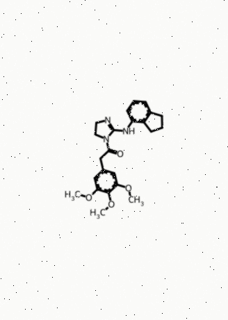 COc1cc(CC(=O)N2CCN=C2Nc2cccc3c2CCC3)cc(OC)c1OC